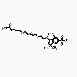 Cc1cc(S(=O)(=O)[O-])cc2c1[N+](OCCOCCOCCOCCCCC(=O)O)=CC2(C)C